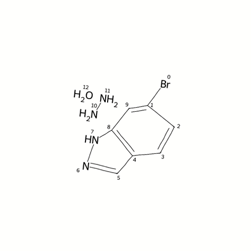 Brc1ccc2cn[nH]c2c1.NN.O